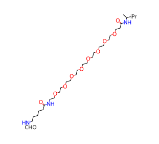 CC(C)C(C)NC(=O)CCOCCOCCOCCOCCOCCOCCOCCOCCNC(=O)CCCCCNC=O